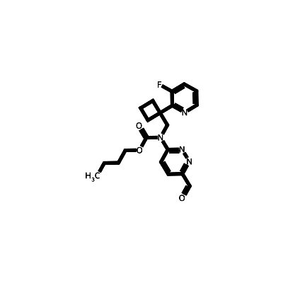 CCCCOC(=O)N(CC1(c2ncccc2F)CCC1)c1ccc(C=O)nn1